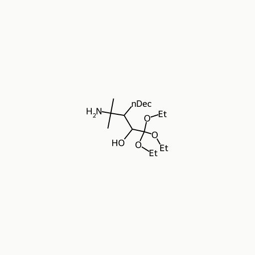 CCCCCCCCCCC(C(O)C(OCC)(OCC)OCC)C(C)(C)N